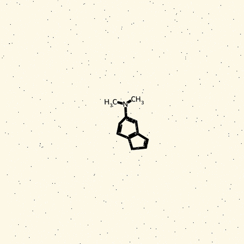 CN(C)c1ccc2c(c1)C=CC2